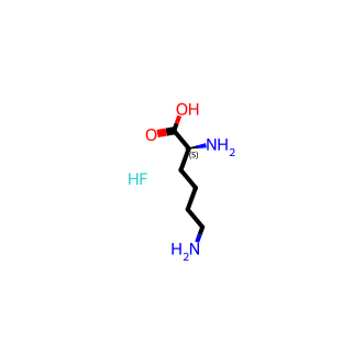 F.NCCCC[C@H](N)C(=O)O